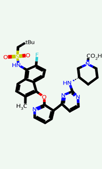 Cc1ccc2c(NS(=O)(=O)CC(C)(C)C)c(F)ccc2c1Oc1ncccc1-c1ccnc(N[C@H]2CCCN(C(=O)O)C2)n1